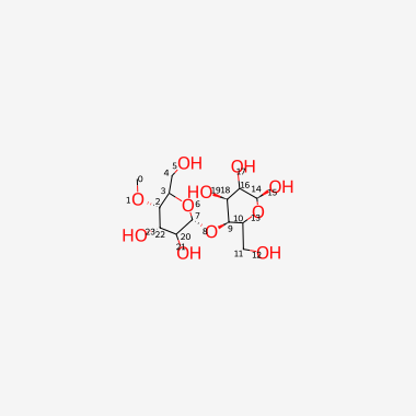 CO[C@@H]1C(CO)O[C@H](O[C@@H]2C(CO)O[C@H](O)C(O)[C@@H]2O)C(O)[C@@H]1O